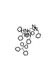 O=C(N[C@H](Cc1cn(Cc2ccccc2)cn1)C(=O)NCc1ccc(OC(=O)C(c2ccccc2)c2ccccc2)cc1)C(c1ccccc1)c1ccccc1